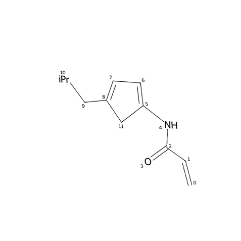 C=CC(=O)NC1=CC=C(CC(C)C)C1